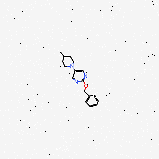 CC1CCN(c2cnc(OCc3ccccc3)nc2)CC1